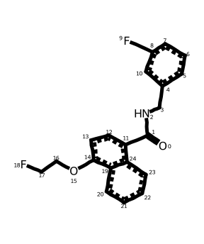 O=C(NCc1cccc(F)c1)c1ccc(OCCF)c2ccccc12